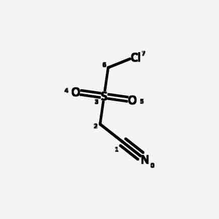 N#CCS(=O)(=O)CCl